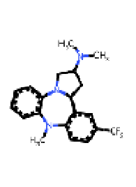 CN1c2ccc(C(F)(F)F)cc2C2CC(N(C)C)CN2c2ccccc21